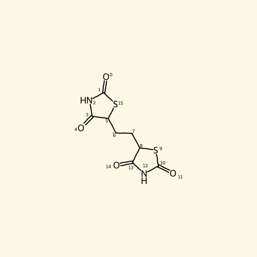 O=C1NC(=O)C([CH]CC2SC(=O)NC2=O)S1